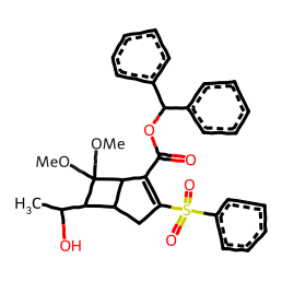 COC1(OC)C2C(C(=O)OC(c3ccccc3)c3ccccc3)=C(S(=O)(=O)c3ccccc3)CC2C1C(C)O